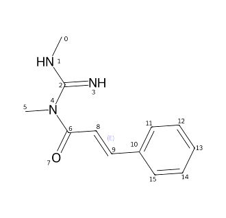 CNC(=N)N(C)C(=O)/C=C/c1ccccc1